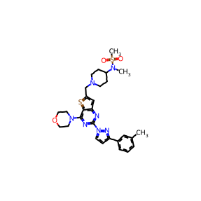 Cc1cccc(-c2ccn(-c3nc(N4CCOCC4)c4sc(CN5CCC(N(C)S(C)(=O)=O)CC5)cc4n3)n2)c1